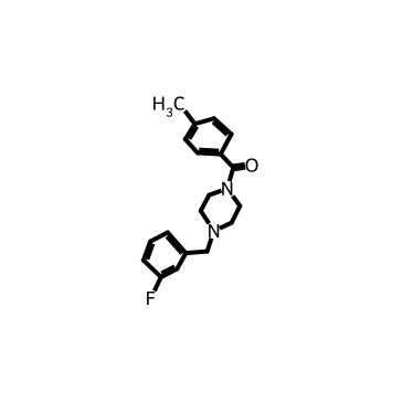 Cc1ccc(C(=O)N2CCN(Cc3cccc(F)c3)CC2)cc1